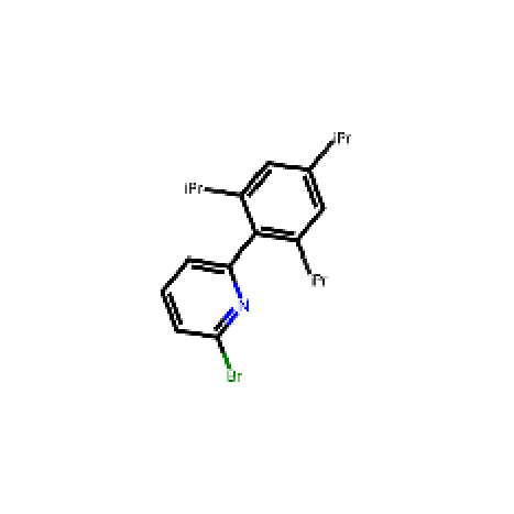 CC(C)c1cc(C(C)C)c(-c2cccc(Br)n2)c(C(C)C)c1